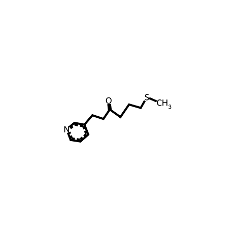 CSCCCC(=O)CCc1cccnc1